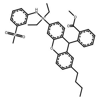 CCCCc1ccc2c(c1)C(c1ccccc1C(=O)OC)c1ccc([N+](CC)(CC)Nc3cccc(S(C)(=O)=O)c3)cc1O2